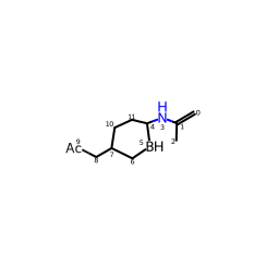 C=C(C)NC1BCC(CC(C)=O)CC1